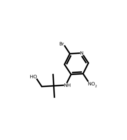 CC(C)(CO)Nc1cc(Br)ncc1[N+](=O)[O-]